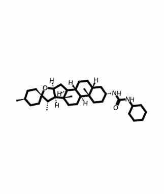 C[C@H]1[C@H]2[C@H](C[C@H]3[C@@H]4CC[C@@H]5C[C@H](NC(=O)NC6CCCCC6)CC[C@]5(C)[C@H]4CC[C@]23C)O[C@]12CC[C@H](C)CC2